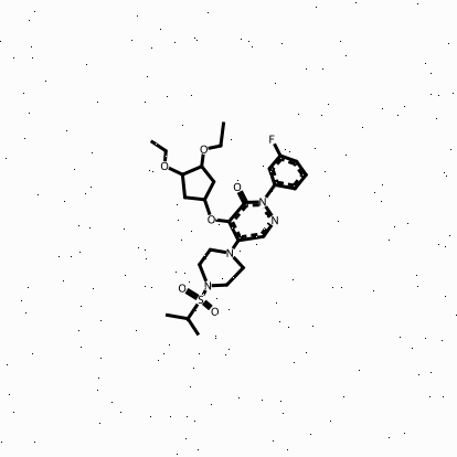 CCOC1CC(Oc2c(N3CCN(S(=O)(=O)C(C)C)CC3)cnn(-c3cccc(F)c3)c2=O)CC1OCC